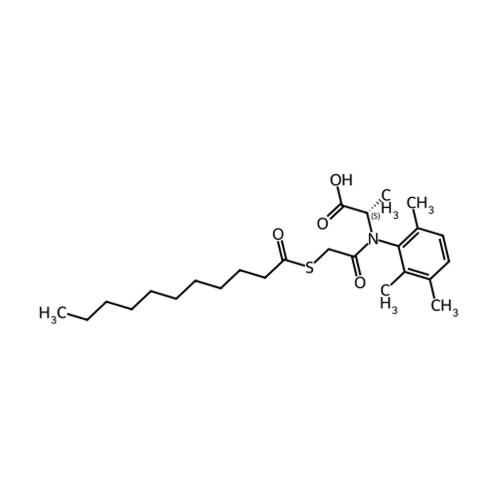 CCCCCCCCCCC(=O)SCC(=O)N(c1c(C)ccc(C)c1C)[C@@H](C)C(=O)O